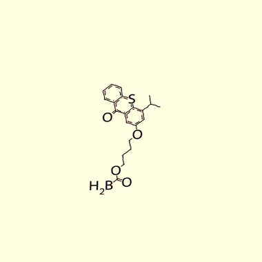 BC(=O)OCCCCOc1cc(C(C)C)c2sc3ccccc3c(=O)c2c1